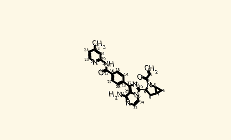 C=CC(=O)N1C2CC2C[C@H]1c1nc(-c2ccc(C(=O)Nc3cc(C)ccn3)cc2)c2c(N)nccn12